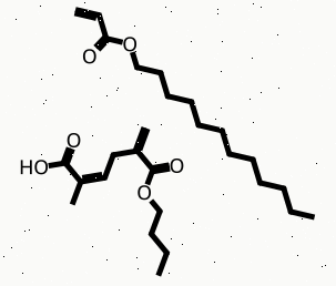 C=C(CC=C(C)C(=O)O)C(=O)OCCCC.C=CC(=O)OCCCCCCCCCCCC